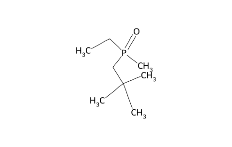 CCP(C)(=O)CC(C)(C)C